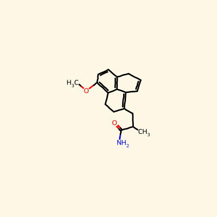 COc1ccc2c3c1CCC(CC(C)C(N)=O)=C3C=CC2